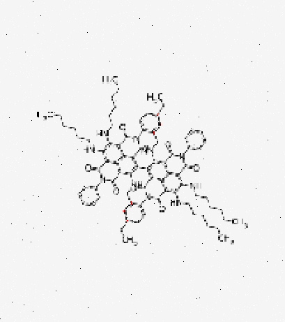 CCCCCCNc1c(NCCCCCC)c2c3c(c(-c4c(NCCCCCC)c5c6c(c(NCCCCCC)c(NCCCCCC)c7c6c4C(=O)N(c4ccccc4)C7=O)C(=O)N(c4ccccc4)C5=O)c(NCCCCCC)c4c3c1C(=O)N(c1ccccc1)C4=O)C(=O)N(c1ccccc1)C2=O